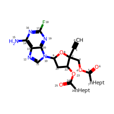 C#CC1(COC(=O)CCCCCCC)OC(n2cnc3c(N)nc(F)nc32)CC1OC(=O)CCCCCCC